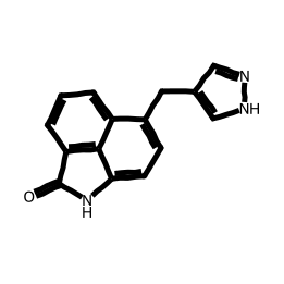 O=C1Nc2ccc(Cc3cn[nH]c3)c3cccc1c23